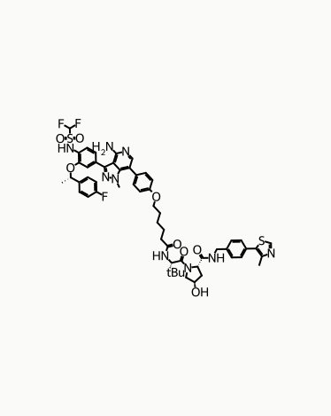 Cc1ncsc1-c1ccc(CNC(=O)[C@@H]2C[C@@H](O)CN2C(=O)[C@@H](NC(=O)CCCCCOc2ccc(-c3cnc(N)c4c(-c5ccc(NS(=O)(=O)C(F)F)c(O[C@@H](C)c6ccc(F)cc6)c5)nn(C)c34)cc2)C(C)(C)C)cc1